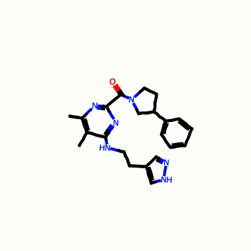 Cc1nc(C(=O)N2CCC(c3ccccc3)C2)nc(NCCc2cn[nH]c2)c1C